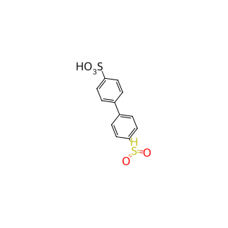 O=[SH](=O)c1ccc(-c2ccc(S(=O)(=O)O)cc2)cc1